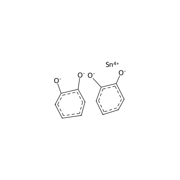 [O-]c1ccccc1[O-].[O-]c1ccccc1[O-].[Sn+4]